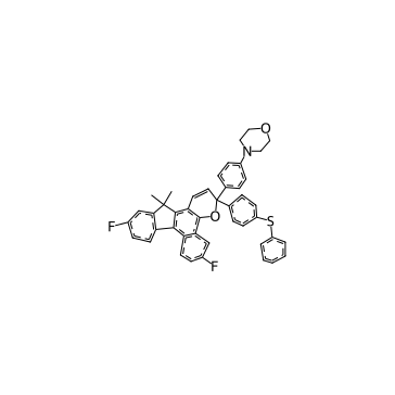 CC1(C)c2cc(F)ccc2-c2c1c1c(c3cc(F)ccc23)OC(c2ccc(Sc3ccccc3)cc2)(c2ccc(N3CCOCC3)cc2)C=C1